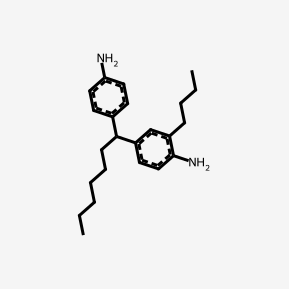 CCCCCCC(c1ccc(N)cc1)c1ccc(N)c(CCCC)c1